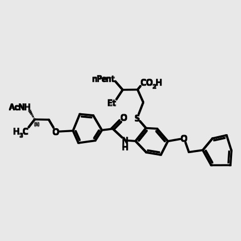 CCCCCC(CC)C(CSc1cc(OCc2ccccc2)ccc1NC(=O)c1ccc(OC[C@H](C)NC(C)=O)cc1)C(=O)O